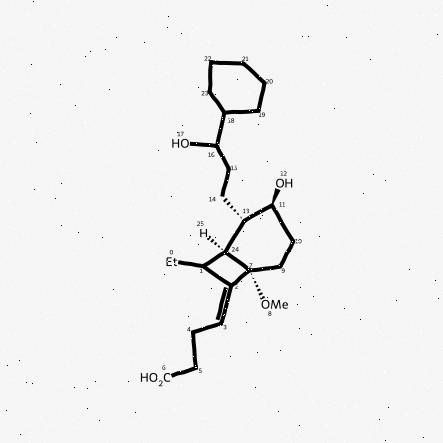 CCC1C(=CCCC(=O)O)[C@]2(OC)CC[C@H](O)[C@@H](CCC(O)C3CCCCC3)[C@H]12